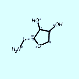 NC[C@H]1OCC(O)C1O